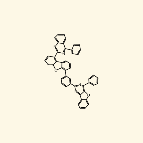 c1ccc(-c2nc(-c3cccc4oc5c(-c6cccc(-c7nc(-c8ccccc8)c8oc9ccccc9c8n7)c6)cccc5c34)nc3ccccc23)cc1